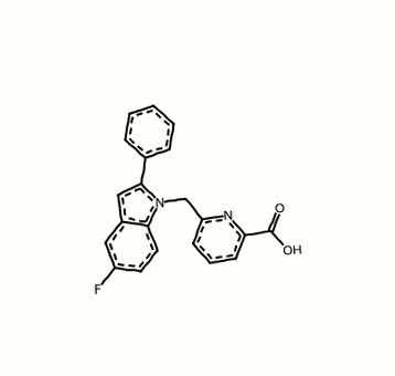 O=C(O)c1cccc(Cn2c(-c3ccccc3)cc3cc(F)ccc32)n1